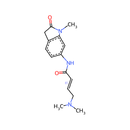 CN(C)C/C=C/C(=O)Nc1ccc2c(c1)N(C)C(=O)C2